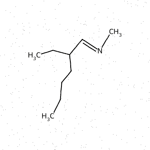 CCCCC(/C=N/C)CC